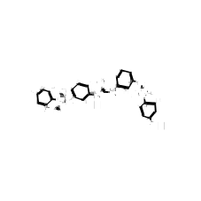 Cc1ccc(S(=O)(=O)Oc2cccc(NC(=O)Nc3cccc(OS(=O)(=O)c4ccccc4C)c3)c2)cc1